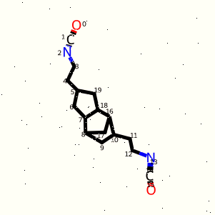 O=C=NCCC1CC2C3CC(CCN=C=O)C(C3)C2C1